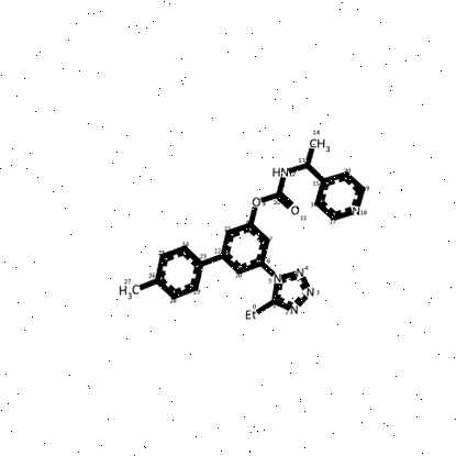 CCc1nnnn1-c1cc(OC(=O)NC(C)c2ccncc2)cc(-c2ccc(C)cc2)c1